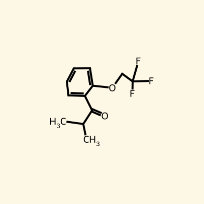 CC(C)C(=O)c1ccccc1OCC(F)(F)F